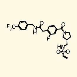 C=CS(=O)(=O)NC[C@@H]1CCN(C(=O)c2ccc(CC(=O)NCc3ccc(C(F)(F)F)cc3)c(F)c2)C1